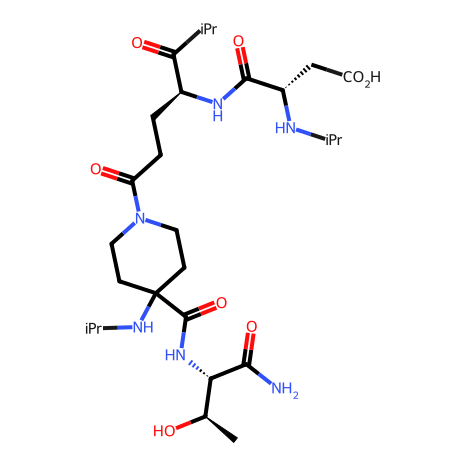 CC(C)N[C@@H](CC(=O)O)C(=O)N[C@@H](CCC(=O)N1CCC(NC(C)C)(C(=O)N[C@H](C(N)=O)[C@@H](C)O)CC1)C(=O)C(C)C